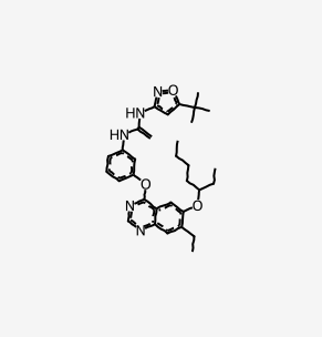 C=C(Nc1cccc(Oc2ncnc3cc(CC)c(OC(CC)CCCC)cc23)c1)Nc1cc(C(C)(C)C)on1